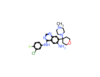 CN1CCN(C2(c3cc4ncnc(Nc5ccc(F)c(Cl)c5)c4cc3N)CCOCC2)CC1